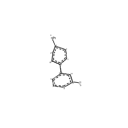 CCCc1[c]cc(-c2cccc(Cl)c2)cc1